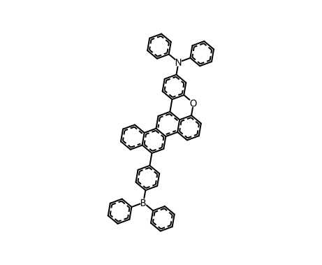 c1ccc(B(c2ccccc2)c2ccc(-c3cc4c5cccc6c5c(cc4c4ccccc34)-c3ccc(N(c4ccccc4)c4ccccc4)cc3O6)cc2)cc1